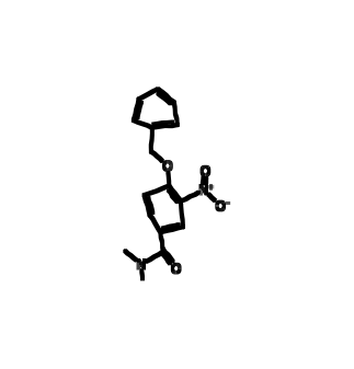 CN(C)C(=O)c1ccc(OCc2ccccc2)c([N+](=O)[O-])c1